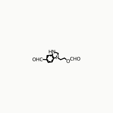 O=COCCN1CNc2cc(C=O)ccc21